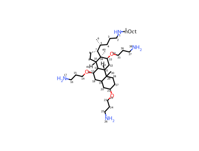 CCCCCCCCNCCC[C@@H](C)[C@H]1CC[C@H]2C3[C@H](OCCCN)CC4C[C@H](OCCCN)CCC4(C)[C@H]3C[C@H](OCCCN)[C@]12C